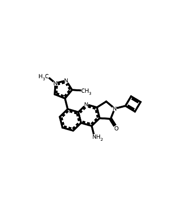 Cc1nn(C)cc1-c1cccc2c(N)c3c(nc12)CN(C1=CC=C1)C3=O